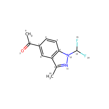 CC(=O)c1ccc2c(c1)c(C)nn2C(F)F